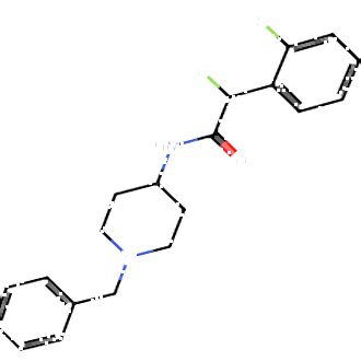 O=C(NC1CCN(Cc2ccccc2)CC1)C(F)c1ccccc1F